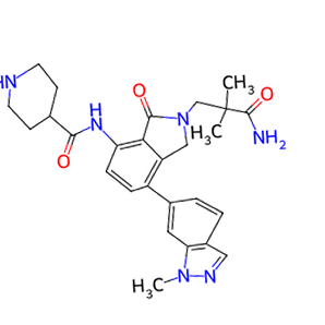 Cn1ncc2ccc(-c3ccc(NC(=O)C4CCNCC4)c4c3CN(CC(C)(C)C(N)=O)C4=O)cc21